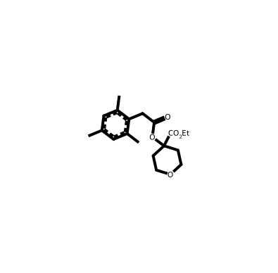 CCOC(=O)C1(OC(=O)Cc2c(C)cc(C)cc2C)CCOCC1